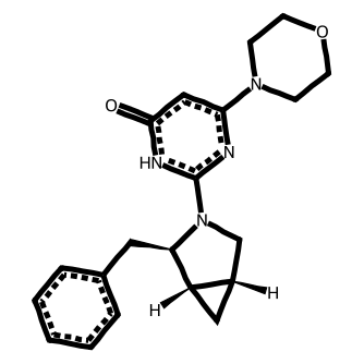 O=c1cc(N2CCOCC2)nc(N2C[C@@H]3C[C@@H]3[C@H]2Cc2ccccc2)[nH]1